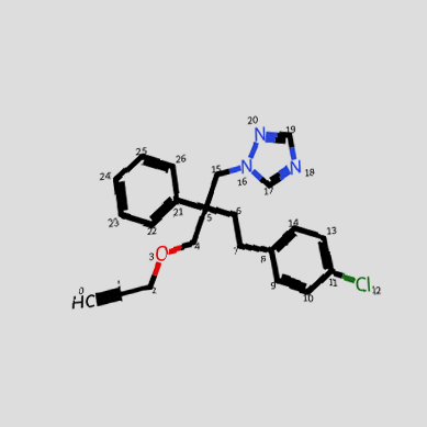 C#CCOCC(CCc1ccc(Cl)cc1)(Cn1cncn1)c1ccccc1